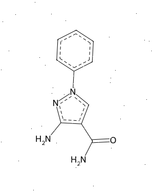 NC(=O)c1cn(-c2ccccc2)nc1N